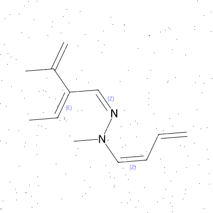 C=C/C=C\N(C)/N=C\C(=C\C)C(=C)C